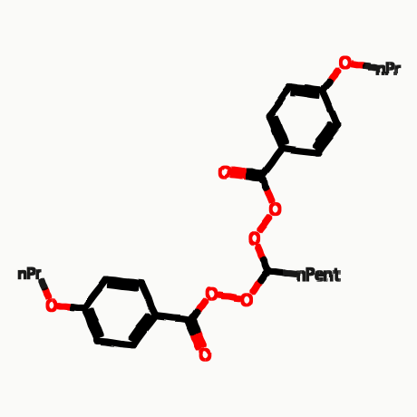 [CH2]CCCC[C](OOC(=O)c1ccc(OCCC)cc1)OOC(=O)c1ccc(OCCC)cc1